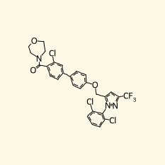 O=C(c1ccc(-c2ccc(OCc3cc(C(F)(F)F)nn3-c3c(Cl)cccc3Cl)cc2)cc1Cl)N1CCOCC1